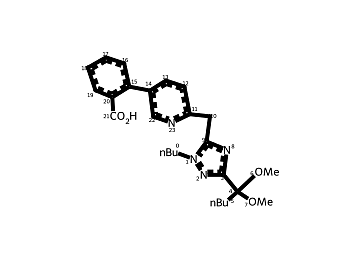 CCCCn1nc(C(CCCC)(OC)OC)nc1Cc1ccc(-c2ccccc2C(=O)O)cn1